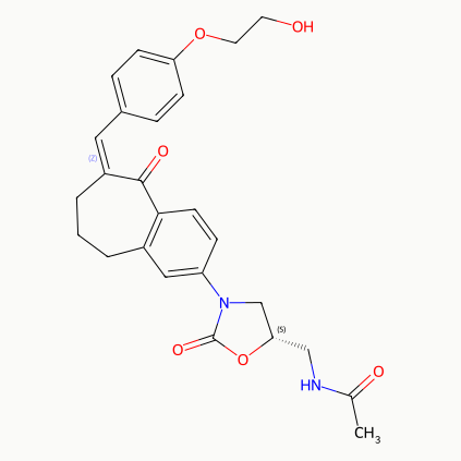 CC(=O)NC[C@H]1CN(c2ccc3c(c2)CCC/C(=C/c2ccc(OCCO)cc2)C3=O)C(=O)O1